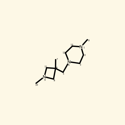 CN1CCN(CC2(C)CN(C)C2)CC1